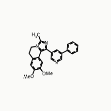 COc1cc2c(cc1OC)-c1c(-c3cncc(-c4ccccc4)c3)nc(C)n1CC2